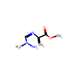 C=C(/N=C\N(C)N)C(=O)OC